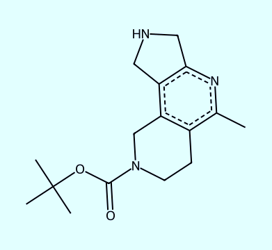 Cc1nc2c(c3c1CCN(C(=O)OC(C)(C)C)C3)CNC2